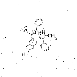 C=CC(=O)N1Cc2sc(C)cc2[C@@H](c2ccccc2-c2cn(Cc3ccccc3)nc2C)C1